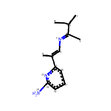 C/C(=C\N=C(/C)C(C)C)c1cccc(N)n1